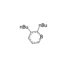 CCCCc1bcccc1CCCC